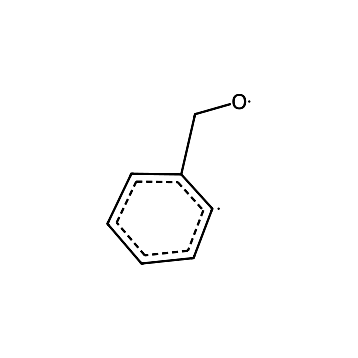 [O]Cc1[c]cccc1